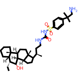 CC[C@H]1[C@@H](O)[C@@H]2[C@H](CC[C@]3(C)C([C@H](C)CCNC(=O)NS(=O)(=O)c4ccc(C(C)(C)CN)cc4)CC[C@@H]23)[C@@]2(C)CCCC[C@@H]12